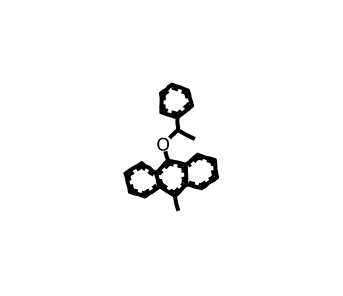 Cc1c2ccccc2c(OC(C)c2ccccc2)c2ccccc12